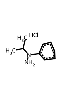 CC(C)N(N)c1ccccc1.Cl